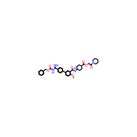 COc1ccc(-c2ccc(C(=N)NC(=O)OCc3ccccc3)cc2)cc1C(=O)NC1CCC(C(=O)OCC(=O)N2CCCCC2)CC1